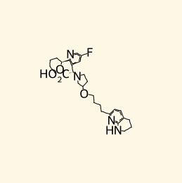 O=C(O)[C@H](c1cc(F)cnc1[C@@H]1CCCCO1)N1CC[C@@H](OCCCCc2ccc3c(n2)NCCC3)C1